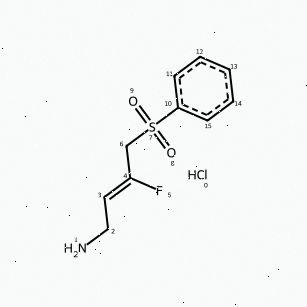 Cl.NC/C=C(\F)CS(=O)(=O)c1ccccc1